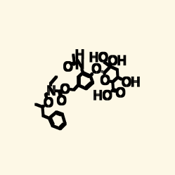 CCN(COC(C)Cc1ccccc1)C(=O)OCc1ccc(O[C@H]2OC(C(=O)O)C(O)CC2(O)CO)c(NC(C)=O)c1